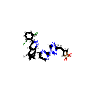 CC1(C)[C@H]2CC[C@]1(c1ccnc(-n3cnc(CC4CS(=O)(=O)C4)n3)n1)c1nnc(-c3c(F)cccc3F)cc12